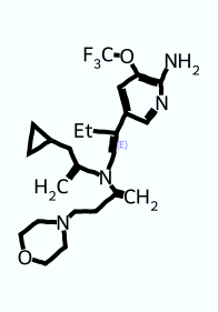 C=C(CCN1CCOCC1)N(/C=C(\CC)c1cnc(N)c(OC(F)(F)F)c1)C(=C)CC1CC1